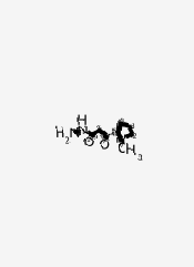 CN1CCC[C@H]1C(=O)CC(=O)NN